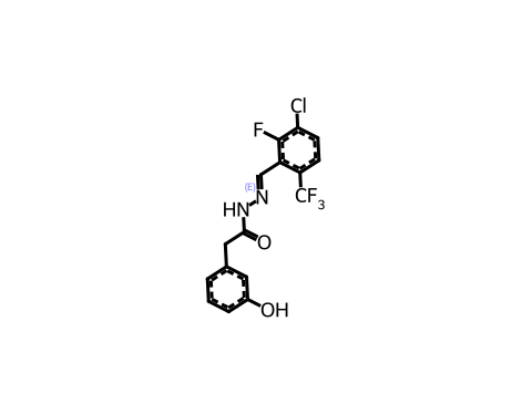 O=C(Cc1cccc(O)c1)N/N=C/c1c(C(F)(F)F)ccc(Cl)c1F